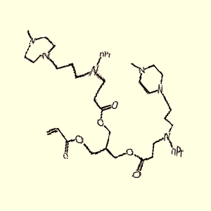 C=CC(=O)OCC(COC(=O)CCN(CCC)CCCN1CCN(C)CC1)COC(=O)CCN(CCC)CCCN1CCN(C)CC1